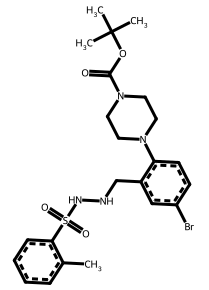 Cc1ccccc1S(=O)(=O)NNCc1cc(Br)ccc1N1CCN(C(=O)OC(C)(C)C)CC1